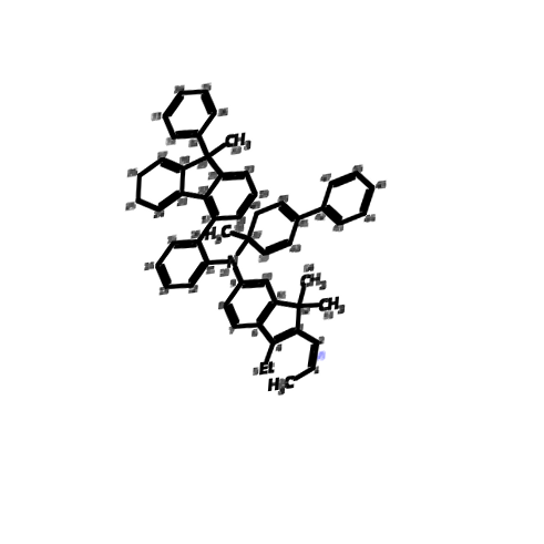 C/C=C\C1=C(CC)c2ccc(N(c3ccccc3-c3cccc4c3C3=CCCC=C3C4(C)c3ccccc3)C3(C)C=CC(c4ccccc4)=CC3)cc2C1(C)C